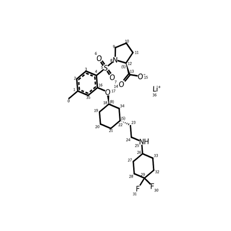 Cc1ccc(S(=O)(=O)N2CCC[C@H]2C(=O)[O-])c(O[C@@H]2CCC[C@@H](CCNC3CCC(F)(F)CC3)C2)c1.[Li+]